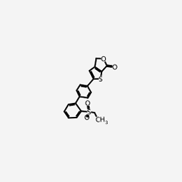 CCS(=O)(=O)c1ccccc1-c1ccc(-c2cc3c(s2)C(=O)OC3)cc1